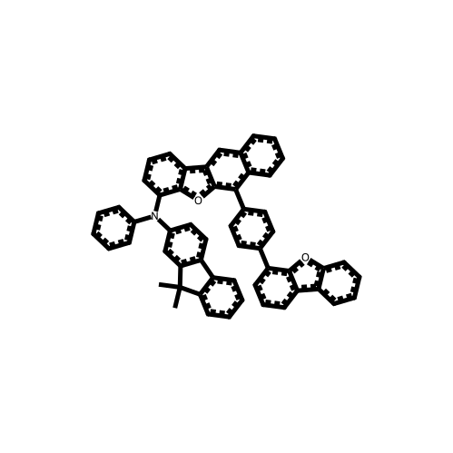 CC1(C)c2ccccc2-c2ccc(N(c3ccccc3)c3cccc4c3oc3c(-c5ccc(-c6cccc7c6oc6ccccc67)cc5)c5ccccc5cc34)cc21